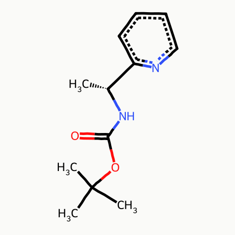 C[C@@H](NC(=O)OC(C)(C)C)c1ccccn1